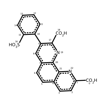 O=C(O)c1ccc2ccc3cc(-c4ccccc4S(=O)(=O)O)c(C(=O)O)nc3c2n1